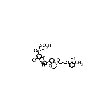 Cc1cccc(OCCCC(=O)N2CCCOc3c(-c4cnn(Cc5c(F)cc(C(=O)NCS(=O)(=O)O)cc5Cl)c4)cccc32)c1C